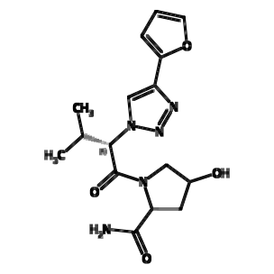 CC(C)[C@@H](C(=O)N1CC(O)CC1C(N)=O)n1cc(-c2ccco2)nn1